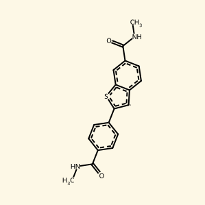 CNC(=O)c1ccc(-c2[c]c3ccc(C(=O)NC)cc3s2)cc1